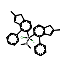 CC1=Cc2c(cc[c]([Zr]([Cl])([Cl])([c]3ccc4c(c3-c3ccccc3)C=C(C)C4)[SiH](C)C)c2-c2ccccc2)C1